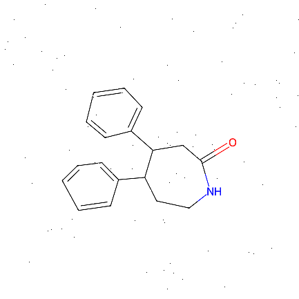 O=C1CC(c2ccccc2)C(c2ccccc2)CCN1